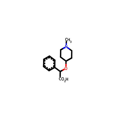 CN1CCC(OC(C(=O)O)c2ccccc2)CC1